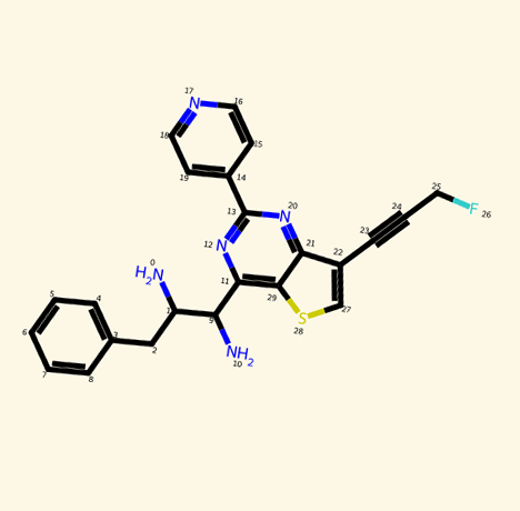 NC(Cc1ccccc1)C(N)c1nc(-c2ccncc2)nc2c(C#CCF)csc12